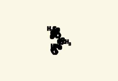 CCC(OC(=O)c1ccc(S(C)(=O)=O)c([N+](=O)[O-])c1)C(=O)NC1C2CC3CC(C2)CC1C3